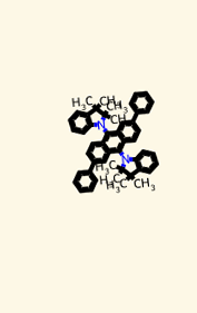 CC1(C)c2ccccc2N(c2c3ccc(-c4ccccc4)cc3c(N3c4ccccc4C(C)(C)C3(C)C)c3ccc(-c4ccccc4)cc23)C1(C)C